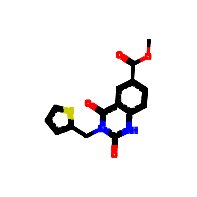 COC(=O)c1ccc2[nH]c(=O)n(Cc3cccs3)c(=O)c2c1